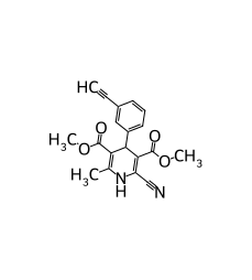 C#Cc1cccc(C2C(C(=O)OC)=C(C)NC(C#N)=C2C(=O)OC)c1